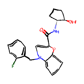 O=C(N[C@@H]1CCC[C@H]1O)C1=CN(Cc2ccccc2F)c2ccccc2O1